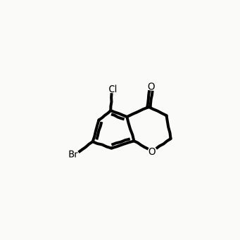 O=C1CCOc2cc(Br)cc(Cl)c21